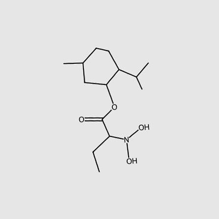 CCC(C(=O)OC1CC(C)CCC1C(C)C)N(O)O